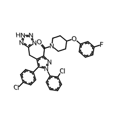 O=C(c1nn(-c2ccccc2Cl)c(-c2ccc(Cl)cc2)c1Cc1nn[nH]n1)N1CCC(Oc2cccc(F)c2)CC1